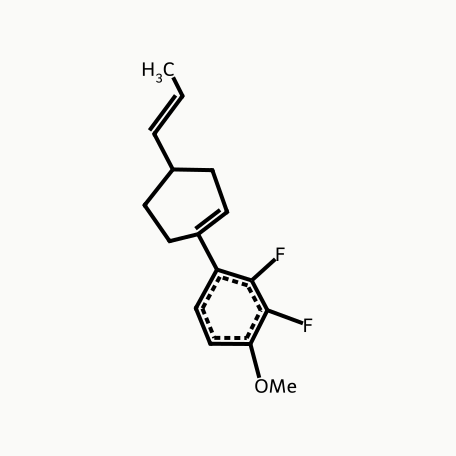 C/C=C/C1CC=C(c2ccc(OC)c(F)c2F)CC1